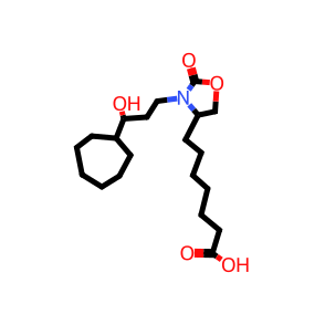 O=C(O)CCCCCCC1COC(=O)N1CCC(O)C1CCCCCC1